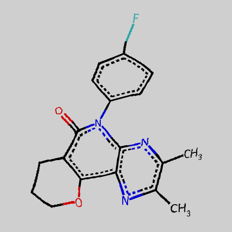 Cc1nc2c3c(c(=O)n(-c4ccc(F)cc4)c2nc1C)CCCO3